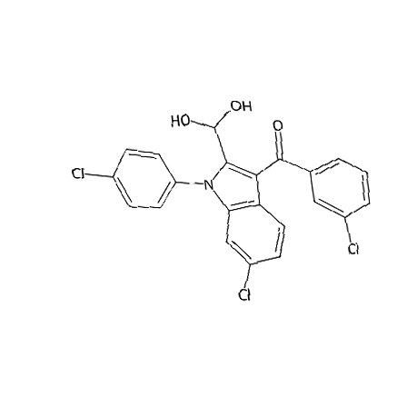 O=C(c1cccc(Cl)c1)c1c(C(O)O)n(-c2ccc(Cl)cc2)c2cc(Cl)ccc12